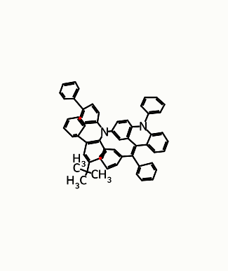 CC(C)(C)c1ccc(N(c2ccc(-c3ccccc3)cc2)c2ccc3c(c2)C(=C(c2ccccc2)c2ccccc2)c2ccccc2N3c2ccccc2)c(-c2ccccc2)c1